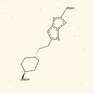 CCCCCCCCC[C@H]1CC[C@H](CCc2cc3sc(CCCCC)cc3s2)CC1